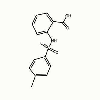 Cc1ccc(S(=O)(=O)Nc2ccccc2C(=O)O)cc1